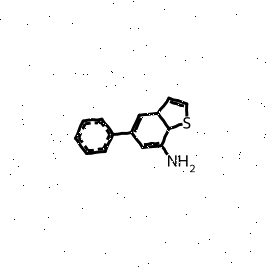 NC1=CC(c2ccccc2)=CC2C=CSC12